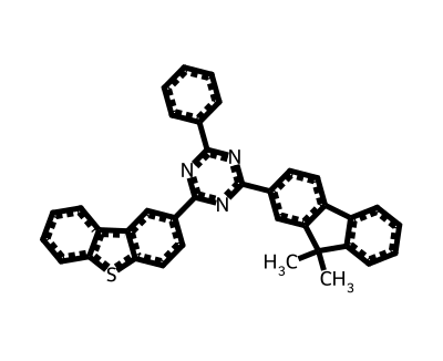 CC1(C)c2ccccc2-c2ccc(-c3nc(-c4ccccc4)nc(-c4ccc5sc6ccccc6c5c4)n3)cc21